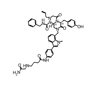 C=CCN1CC(=O)N2[C@@H](Cc3ccc(O)cc3)C(=O)N(Cc3cccc4c(-c5ccc(NC(=O)CCCNCC(N)=O)cc5)cn(C)c34)C[C@@H]2N1C(=O)NCc1ccccc1